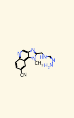 Cn1c(CN/C=N\N)nc2cnc3ccc(C#N)cc3c21